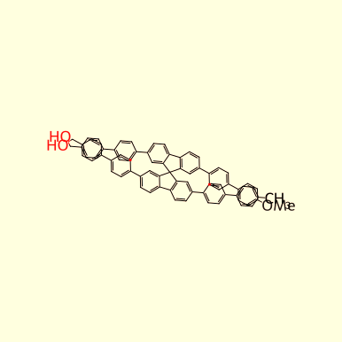 COc1ccc(-c2ccc(-c3ccc4c(c3)C3(c5cc(-c6ccc(-c7ccc(C)cc7)cc6)ccc5-c5ccc(-c6ccc(-c7ccc(CO)cc7)cc6)cc53)c3cc(-c5ccc(-c6ccc(CO)cc6)cc5)ccc3-4)cc2)cc1